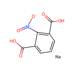 O=C(O)c1cccc(C(=O)O)c1[N+](=O)[O-].[Na]